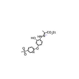 CCOC(=O)/C(C)=N/Nc1ccc(Oc2ccc(S(C)(=O)=O)cn2)cc1O